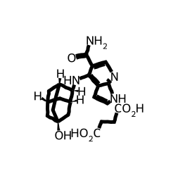 NC(=O)c1cnc2[nH]ccc2c1N[C@H]1[C@@H]2C[C@H]3C[C@H]1C[C@@](O)(C3)C2.O=C(O)CCC(=O)O